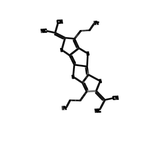 CC(C)CCc1c(=C(C#N)C#N)sc2c1sc1c3sc(=C(C#N)C#N)c(CCC(C)C)c3sc21